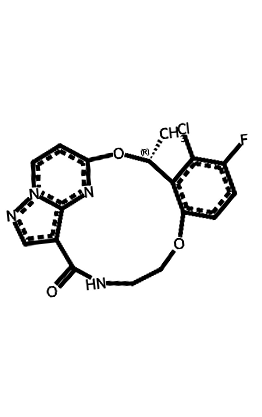 C[C@H]1Oc2ccn3ncc(c3n2)C(=O)NCCOc2ccc(F)c(Cl)c21